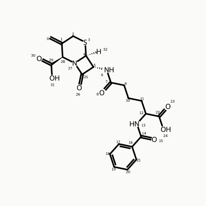 C=C1CS[C@H]2[C@H](NC(=O)CCCC(NC(=O)c3ccccc3)C(=O)O)C(=O)N2[C@H]1C(=O)O